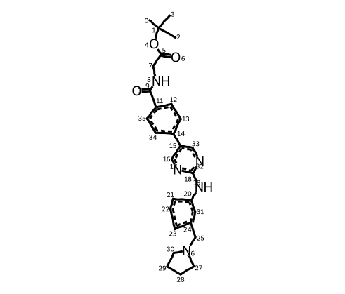 CC(C)(C)OC(=O)CNC(=O)c1ccc(-c2cnc(Nc3cccc(CN4CCCC4)c3)nc2)cc1